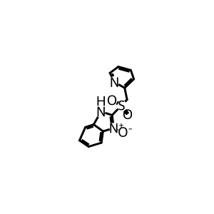 O=S(=O)(Cc1ccccn1)c1[nH]c2ccccc2[n+]1[O-]